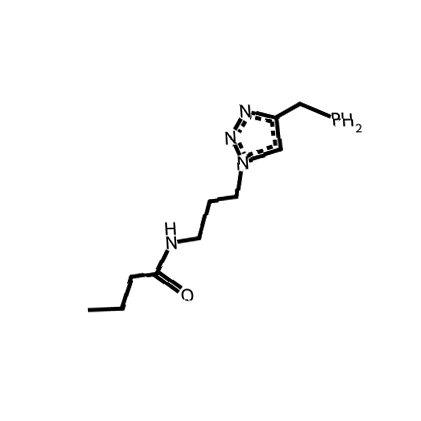 CCCC(=O)NCCCn1cc(CP)nn1